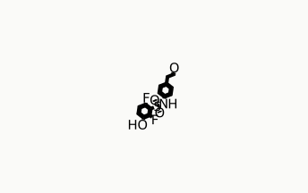 O=CCc1ccc(NS(=O)(=O)c2c(F)ccc(O)c2F)cc1